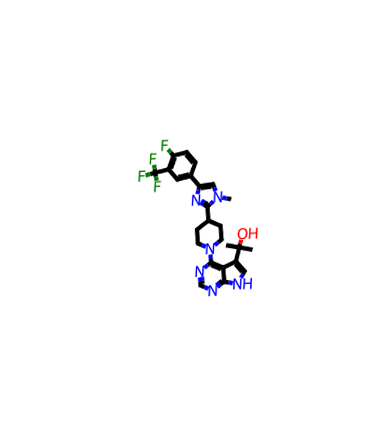 Cn1cc(-c2ccc(F)c(C(F)(F)F)c2)nc1C1CCN(c2ncnc3[nH]cc(C(C)(C)O)c23)CC1